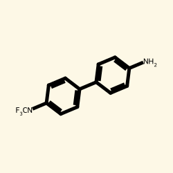 Nc1ccc(-c2ccc(NC(F)(F)F)cc2)cc1